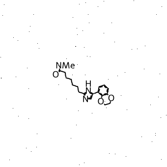 CNC(=O)CCCCCCc1ncc(-c2cccc3c2OCCO3)[nH]1